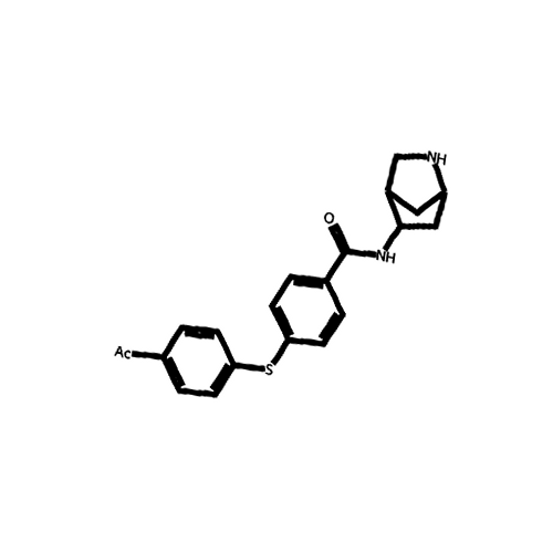 CC(=O)c1ccc(Sc2ccc(C(=O)NC3CC4CC3CN4)cc2)cc1